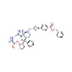 CNC(=O)OC1CCCC1C(Cn1cnnc1C)(c1ccccc1)C1CCN(CC2CN(c3ccc(C(=O)OCc4ccccc4)cc3)C2)CC1